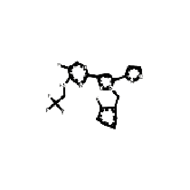 Fc1ccccc1Cn1nc(-c2ncc(F)c(NCC(F)(F)F)n2)cc1-c1ccon1